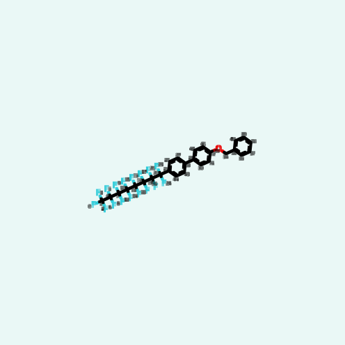 FC(F)(F)C(F)(F)C(F)(F)C(F)(F)C(F)(F)C(F)(F)C(F)(F)C(F)(F)c1ccc(-c2ccc(OCc3ccccc3)cc2)cc1